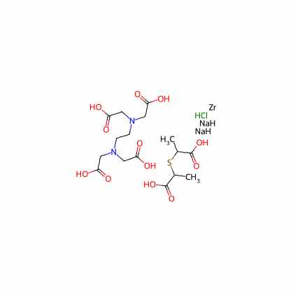 CC(SC(C)C(=O)O)C(=O)O.Cl.O=C(O)CN(CCN(CC(=O)O)CC(=O)O)CC(=O)O.[NaH].[NaH].[Zr]